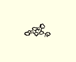 c1ccc(-c2cccc(-n3c4ccccc4c4ccc5c(c6ccccc6n6c7ccccc7cc56)c43)c2)nc1